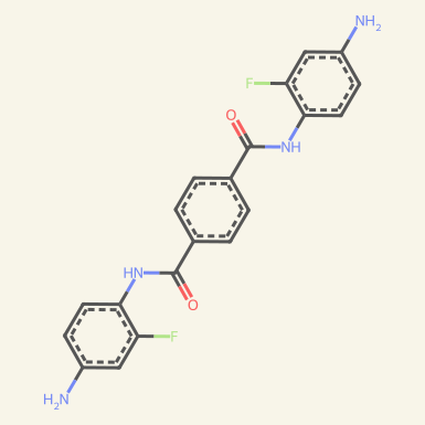 Nc1ccc(NC(=O)c2ccc(C(=O)Nc3ccc(N)cc3F)cc2)c(F)c1